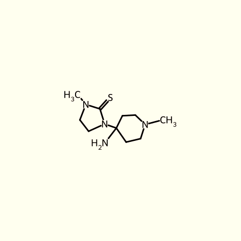 CN1CCC(N)(N2CCN(C)C2=S)CC1